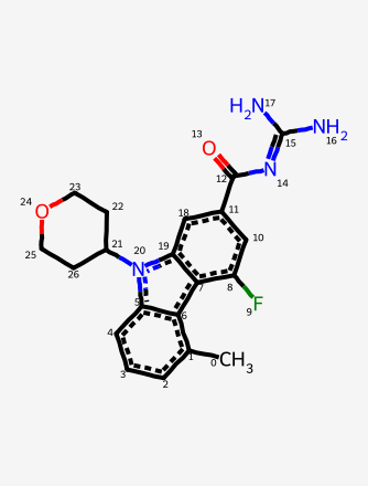 Cc1cccc2c1c1c(F)cc(C(=O)N=C(N)N)cc1n2C1CCOCC1